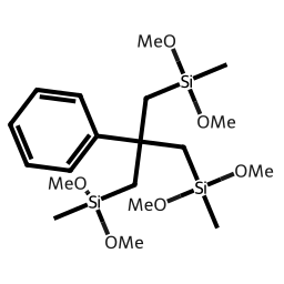 CO[Si](C)(CC(C[Si](C)(OC)OC)(C[Si](C)(OC)OC)c1ccccc1)OC